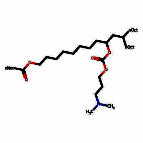 CCCCCCCCCC(=O)OCCCCCCCCC(CC(CCCCCCCC)CCCCCCCC)OC(=O)OCCCN(C)C